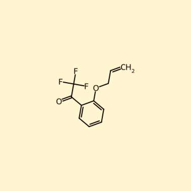 C=CCOc1ccccc1C(=O)C(F)(F)F